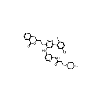 CN1CCN(CCC(=O)Nc2cc(Nc3cc(-c4cc(Cl)ccc4F)nnc3SCC3Cc4ccccc4C(=O)O3)ccn2)CC1